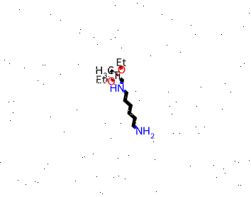 CC[O][Ti]([CH3])([CH2]NCCCCCCN)[O]CC